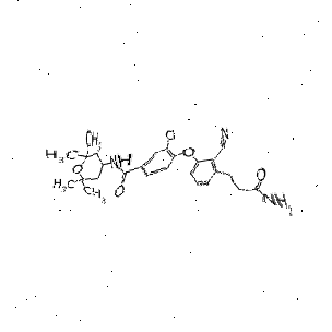 CC1(C)CC(NC(=O)c2ccc(Oc3cccc(CCC(N)=O)c3C#N)c(Cl)c2)CC(C)(C)O1